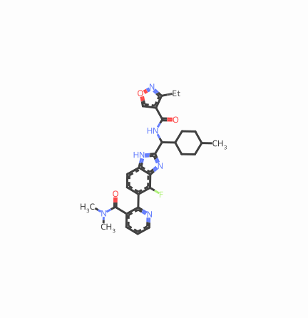 CCc1nocc1C(=O)NC(c1nc2c(F)c(-c3ncccc3C(=O)N(C)C)ccc2[nH]1)C1CCC(C)CC1